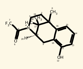 CC12CCN(C(=O)C(F)(F)F)[C@H](Cc3c(O)cccc31)C2(C)C